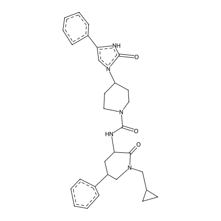 O=C(NC1CC(c2ccccc2)CN(CC2CC2)C1=O)N1CCC(n2cc(-c3ccccc3)[nH]c2=O)CC1